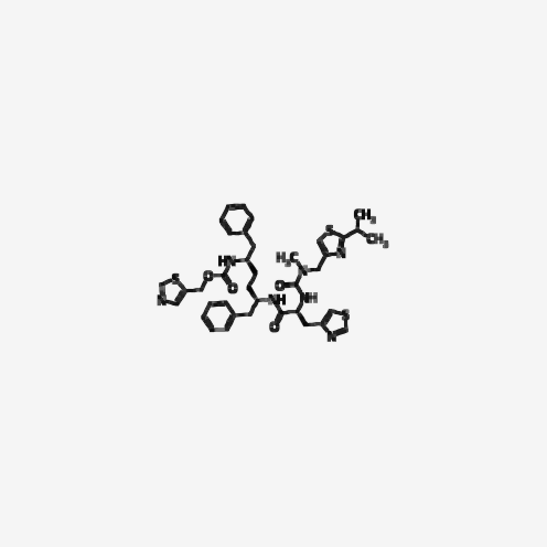 CC(C)c1nc(CN(C)C(=O)N[C@@H](Cc2cscn2)C(=O)N[C@H](CC[C@H](Cc2ccccc2)NC(=O)OCc2cncs2)Cc2ccccc2)cs1